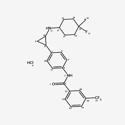 Cl.O=C(Nc1ccc(C2CC2NC2CCC(F)(F)CC2)cc1)c1cccc(C(F)(F)F)c1